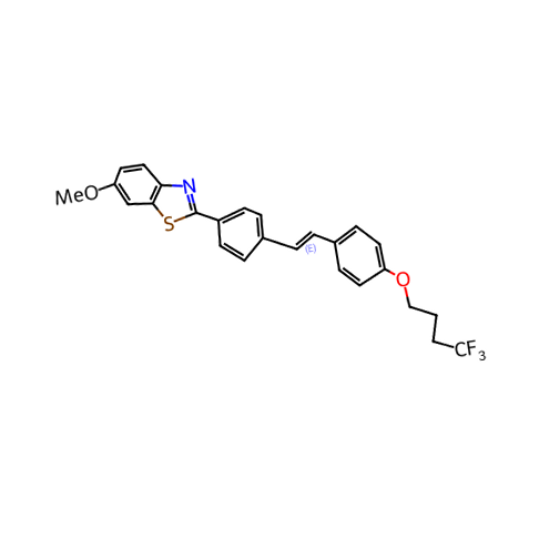 COc1ccc2nc(-c3ccc(/C=C/c4ccc(OCCCC(F)(F)F)cc4)cc3)sc2c1